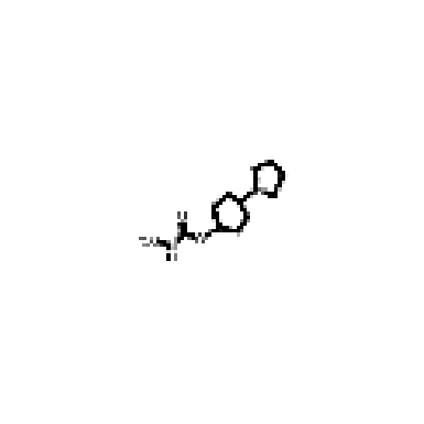 CC(C)(C)NC(=O)OC1CCC(N2CCCC2)CC1